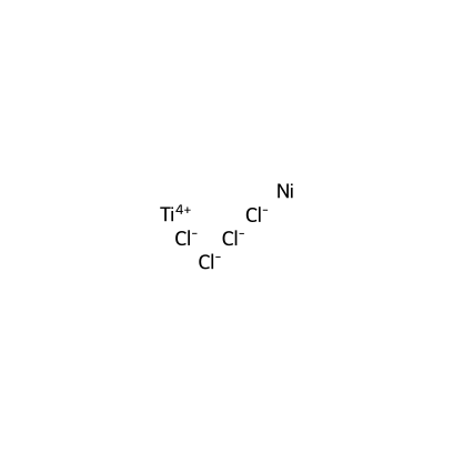 [Cl-].[Cl-].[Cl-].[Cl-].[Ni].[Ti+4]